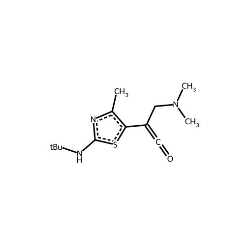 Cc1nc(NC(C)(C)C)sc1C(=C=O)CN(C)C